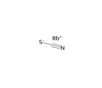 N#C[S-].[Rb+]